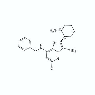 C#Cc1c([C@@H]2CCCC[C@H]2N)sc2c(NCc3ccccc3)cc(Cl)nc12